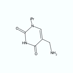 CC(C)n1cc(CN)c(=O)[nH]c1=O